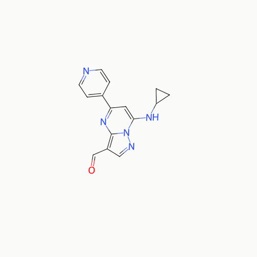 O=Cc1cnn2c(NC3CC3)cc(-c3ccncc3)nc12